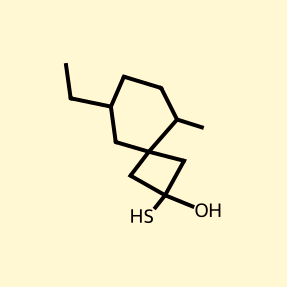 CCC1CCC(C)C2(C1)CC(O)(S)C2